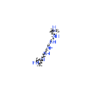 CC1(C)CC(NCCCNCCCNCCCNCCCNC2CC(C)(C)NC(C)(C)C2)CC(C)(C)N1